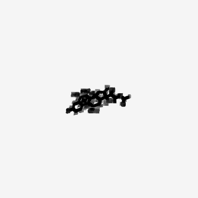 CC(=O)OCC(=O)[C@@]1(O)[C@H](C)C[C@H]2[C@@H]3[C@@H](O)[C@@H](O)C4=CC(=O)C=C[C@]4(C)[C@H]3[C@@H](O)C[C@@]21C